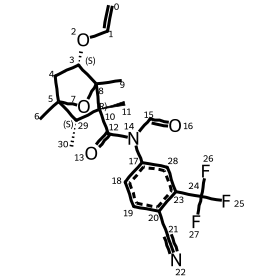 C=CO[C@H]1CC2(C)OC1(C)[C@](C)(C(=O)N(C=O)c1ccc(C#N)c(C(F)(F)F)c1)[C@@H]2C